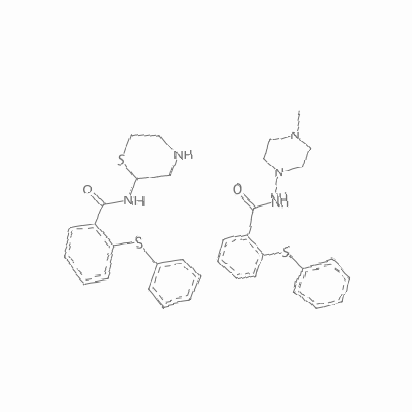 CN1CCN(NC(=O)c2ccccc2Sc2ccccc2)CC1.O=C(NC1CNCCS1)c1ccccc1Sc1ccccc1